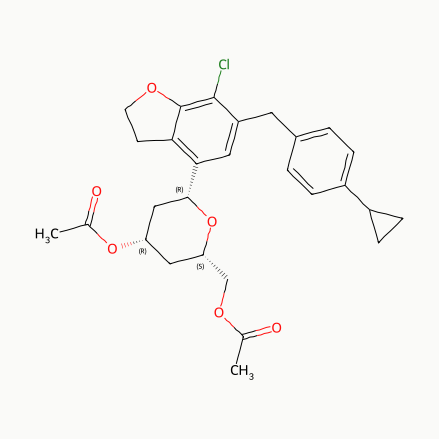 CC(=O)OC[C@@H]1C[C@H](OC(C)=O)C[C@H](c2cc(Cc3ccc(C4CC4)cc3)c(Cl)c3c2CCO3)O1